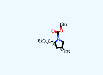 CCOC(=O)[C@@H]1C[C@H](C#N)CN1C(=O)OC(C)(C)C